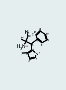 Cc1ccsc1C(c1ccccc1)C(C)(N)CN